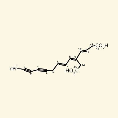 CCCC#CC#CC/C=C/C=C(/C=C/CC(=O)O)CC(=O)O